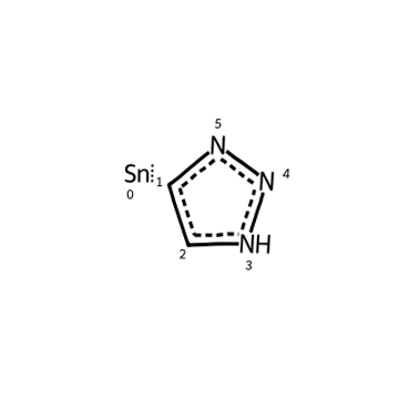 [Sn].c1c[nH]nn1